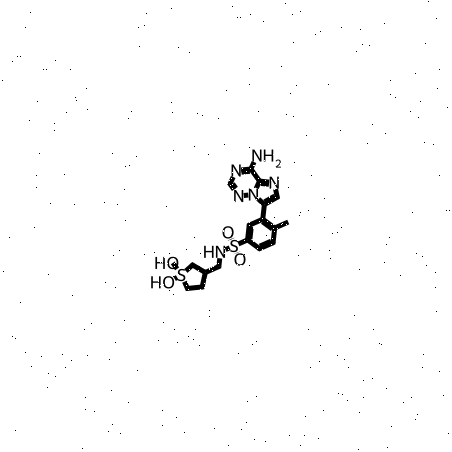 Cc1ccc(S(=O)(=O)NCC2CCS(O)(O)C2)cc1-c1cnc2c(N)ncnn12